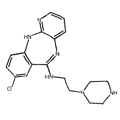 Clc1ccc2c(c1)C(NCCN1CCNCC1)=Nc1cccnc1N2